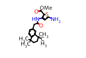 COC(=O)c1sc(N)cc1NC(=O)Cc1ccc2c(c1)C(C)(C)CCC2(C)C